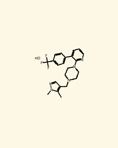 Cc1c(CN2CCN(c3ncccc3-c3ccc(C(F)(F)F)cc3)CC2)cnn1C.Cl